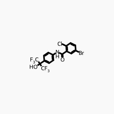 O=C(Nc1ccc(C(O)(C(F)(F)F)C(F)(F)F)cc1)c1cc(Br)ccc1Cl